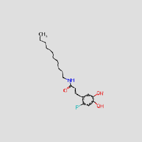 CCCCCCCCCCNC(=O)C=Cc1cc(O)c(O)cc1F